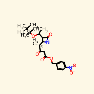 CC(O[Si](C)(C)C(C)(C)C)C1C(=O)NC1[C@@H](C)C(=O)CC(=O)OCc1ccc([N+](=O)[O-])cc1